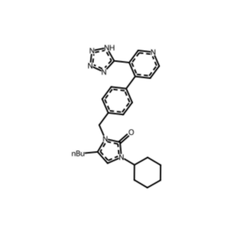 CCCCc1cn(C2CCCCC2)c(=O)n1Cc1ccc(-c2ccncc2-c2nnn[nH]2)cc1